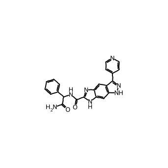 NC(=O)C(NC(=O)c1nc2cc3c(-c4ccncc4)n[nH]c3cc2[nH]1)c1ccccc1